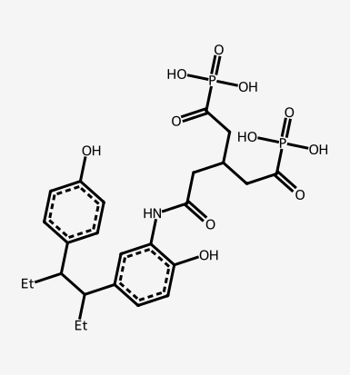 CCC(c1ccc(O)cc1)C(CC)c1ccc(O)c(NC(=O)CC(CC(=O)P(=O)(O)O)CC(=O)P(=O)(O)O)c1